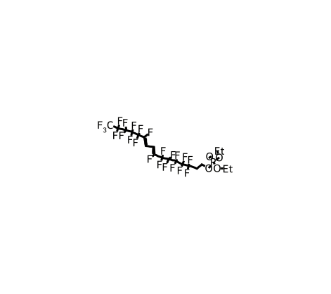 CCOP(=O)(OCC)OCCC(F)(F)C(F)(F)C(F)(F)C(F)(F)C(F)(F)C(F)=CC=C(F)C(F)(F)C(F)(F)C(F)(F)C(F)(F)C(F)(F)F